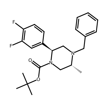 C[C@@H]1CN(C(=O)OC(C)(C)C)[C@@H](c2ccc(F)c(F)c2)CN1Cc1ccccc1